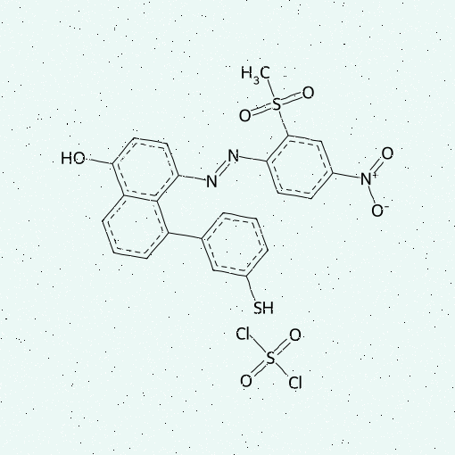 CS(=O)(=O)c1cc([N+](=O)[O-])ccc1N=Nc1ccc(O)c2cccc(-c3cccc(S)c3)c12.O=S(=O)(Cl)Cl